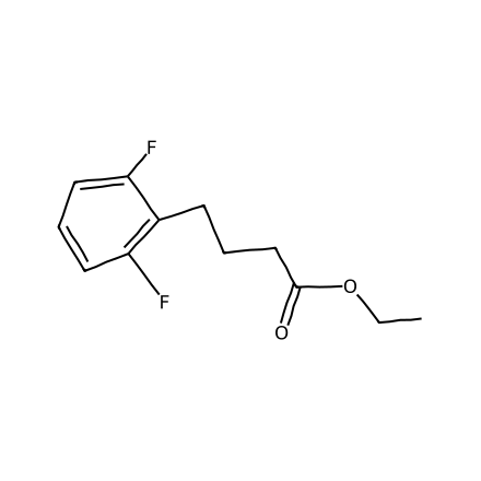 CCOC(=O)CCCc1c(F)cccc1F